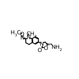 CON=C1CCc2cc(N3C[C@@H](CN)OC3=O)ccc2N1C